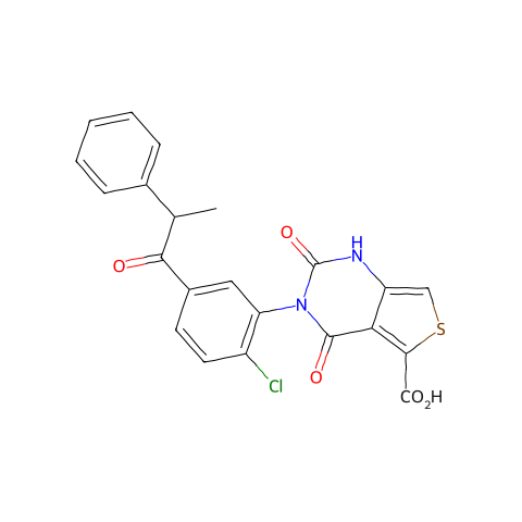 CC(C(=O)c1ccc(Cl)c(-n2c(=O)[nH]c3csc(C(=O)O)c3c2=O)c1)c1ccccc1